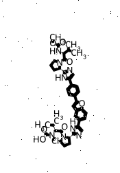 COC(=O)N[C@@H](C(=O)N1CCC[C@H]1c1ncc(-c2ccc(-c3cc4cc(-c5cnc([C@@H]6CCCN6C(=O)[C@@H](C(C)C)N(C)C(=O)O)[nH]5)ccc4o3)cc2)[nH]1)C(C)C